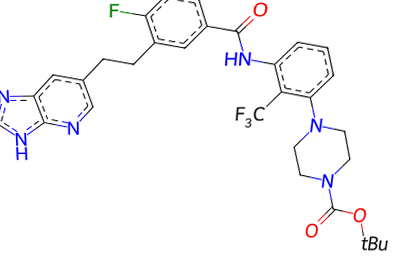 CC(C)(C)OC(=O)N1CCN(c2cccc(NC(=O)c3ccc(F)c(CCc4cnc5[nH]cnc5c4)c3)c2C(F)(F)F)CC1